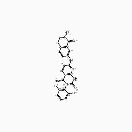 CN1CCc2ccc(Nc3ncc4c(=N)n(-c5c(Cl)cccc5Cl)c(=O)[nH]c4n3)cc2C1=O